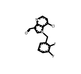 O=Cc1cn(Cc2cccc(F)c2F)c2c(Cl)ccnc12